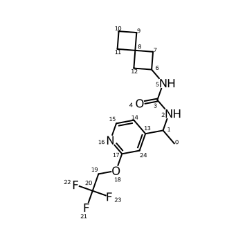 CC(NC(=O)NC1CC2(CCC2)C1)c1ccnc(OCC(F)(F)F)c1